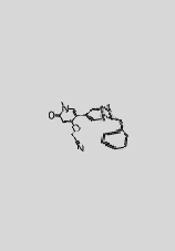 Cn1cc(-c2cnn(Cc3ccccc3)c2)c(OCC#N)cc1=O